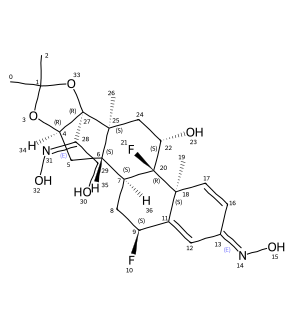 CC1(C)O[C@@H]2C[C@H]3[C@@H]4C[C@H](F)C5=C/C(=N/O)C=C[C@]5(C)[C@@]4(F)[C@@H](O)C[C@]3(C)[C@]2(/C(CO)=N/O)O1